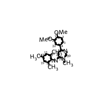 COc1ccc(-c2cc(=Nc3c(C)cc(C)cc3C)n(C)cn2)cc1OC